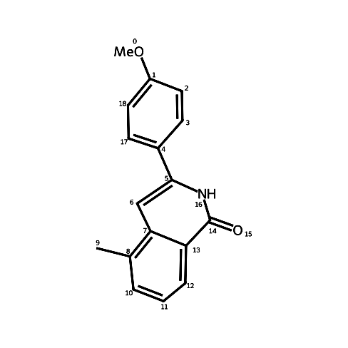 COc1ccc(-c2cc3c(C)cccc3c(=O)[nH]2)cc1